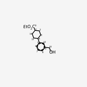 CCOC(=O)C1CCC(c2cccc(CO)c2)CC1